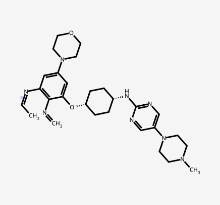 C=Nc1c(/N=C\C)cc(N2CCOCC2)cc1O[C@H]1CC[C@@H](Nc2ncc(N3CCN(C)CC3)cn2)CC1